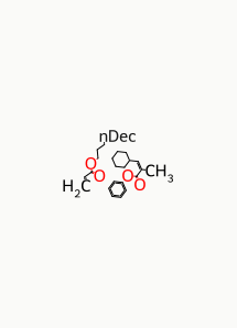 C=CC(=O)OCCCCCCCCCCCCC.CC(=CC1CCCCC1)C(=O)Oc1ccccc1